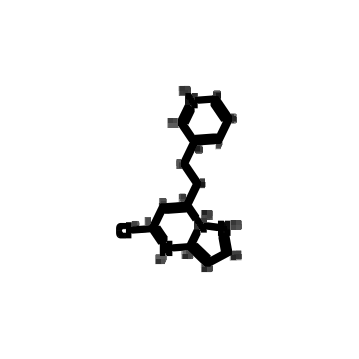 Clc1cc(CCc2cccnc2)n2nccc2n1